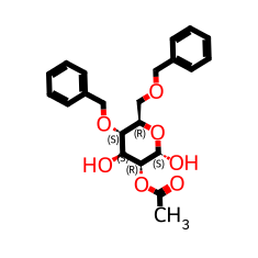 CC(=O)O[C@@H]1[C@@H](O)[C@H](OCc2ccccc2)[C@@H](COCc2ccccc2)O[C@@H]1O